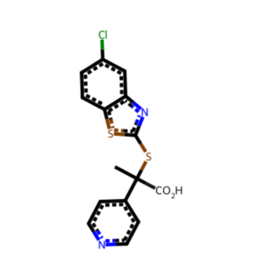 CC(Sc1nc2cc(Cl)ccc2s1)(C(=O)O)c1ccncc1